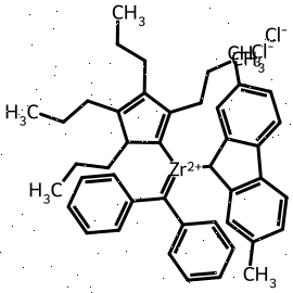 CCCC1=C(CCC)C(CCC)[C]([Zr+2](=[C](c2ccccc2)c2ccccc2)[CH]2c3cc(C)ccc3-c3ccc(C)cc32)=C1CCC.[Cl-].[Cl-]